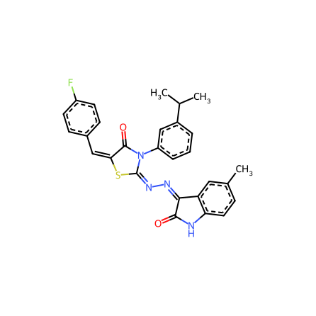 Cc1ccc2c(c1)C(=NN=C1SC(=Cc3ccc(F)cc3)C(=O)N1c1cccc(C(C)C)c1)C(=O)N2